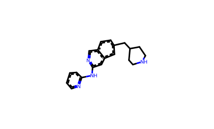 c1ccc(Nc2cc3cc(CC4CCNCC4)ccc3cn2)nc1